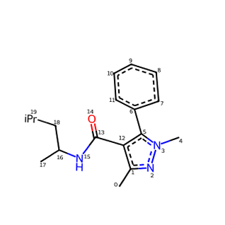 Cc1nn(C)c(-c2ccccc2)c1C(=O)NC(C)CC(C)C